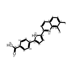 Cc1ccc2ccc(-c3ccc(-c4ccc(C(=O)O)cc4)[nH]3)nc2c1C